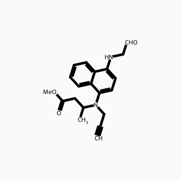 C#CCN(c1ccc(NCC=O)c2ccccc12)C(C)CC(=O)OC